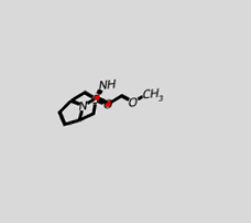 COCCCN1C2CCC1CS(=N)(=O)C2